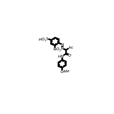 COc1ccc(NC(=O)C(/N=N/c2ccc(S(=O)(=O)O)cc2[N+](=O)[O-])C(C)=O)cc1